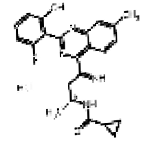 Cc1ccc2c(C(=N)C[C@@H](C)NC(=O)C3CC3)nc(-c3c(O)cccc3F)nc2c1.Cl